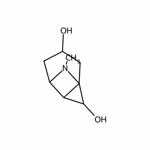 CN1C2CC(O)CC13C(O)C23